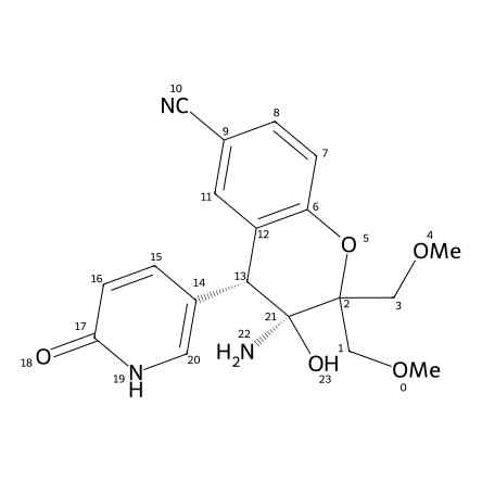 COCC1(COC)Oc2ccc(C#N)cc2[C@@H](c2ccc(=O)[nH]c2)[C@]1(N)O